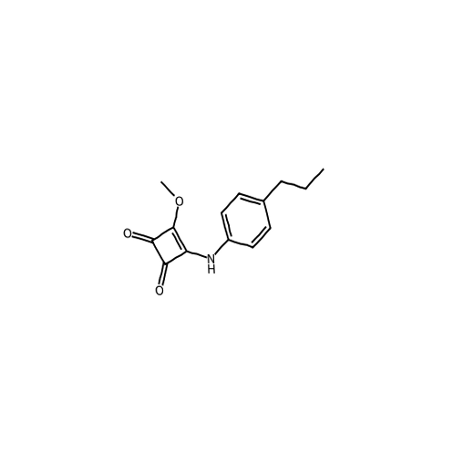 CCCc1ccc(Nc2c(OC)c(=O)c2=O)cc1